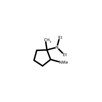 CCN(CC)C1(C)CCCC1NC